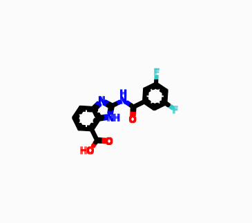 O=C(Nc1nc2cccc(C(=O)O)c2[nH]1)c1cc(F)cc(F)c1